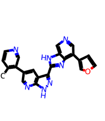 Cc1ccncc1-c1cnc2[nH]nc(-c3nc4c(-c5ccoc5)cncc4[nH]3)c2c1